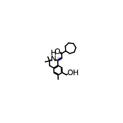 Cc1cc2c(cc1CO)/C(=C/C(=O)C1CCCCCC1)NC(C)(C)C2